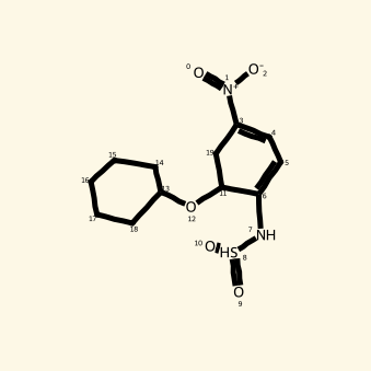 O=[N+]([O-])C1=CC=C(N[SH](=O)=O)C(OC2CCCCC2)C1